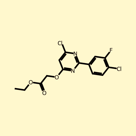 CCOC(=O)COc1cc(Cl)nc(-c2ccc(Cl)c(F)c2)n1